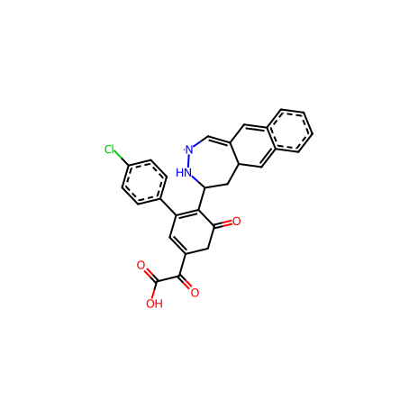 O=C(O)C(=O)C1=CC(c2ccc(Cl)cc2)=C(C2CC3C=c4ccccc4=CC3=C[N]N2)C(=O)C1